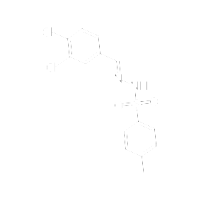 Cc1ccc(S(=O)(=O)NN=Cc2ccc(Cl)c(Cl)c2)cc1